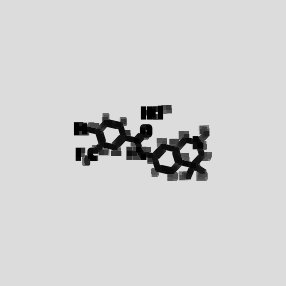 CCc1ccc(C(=O)Nc2ccc3c(c2)CN(C)CC3(C)C)cc1C(F)(F)F.Cl